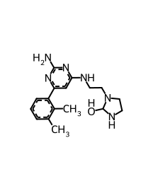 Cc1cccc(-c2cc(NCCN3CCNC3O)nc(N)n2)c1C